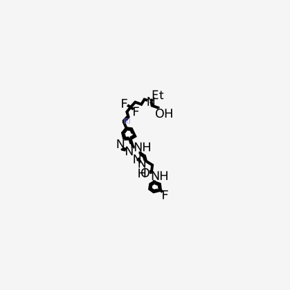 CCN(CCO)CCCC(F)(F)C/C=C/c1ccc2c(Nc3cc(CC(=O)Nc4cccc(F)c4)[nH]n3)ncnc2c1